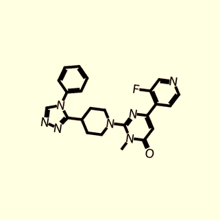 Cn1c(N2CCC(c3nncn3-c3ccccc3)CC2)nc(-c2ccncc2F)cc1=O